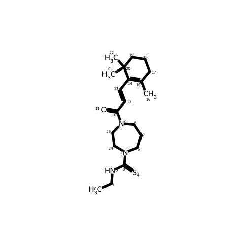 CCNC(=S)N1CCCN(C(=O)/C=C/C2=C(C)CCCC2(C)C)CC1